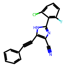 N#Cc1nc(-c2c(F)cccc2Cl)[nH]c1C#Cc1ccccc1